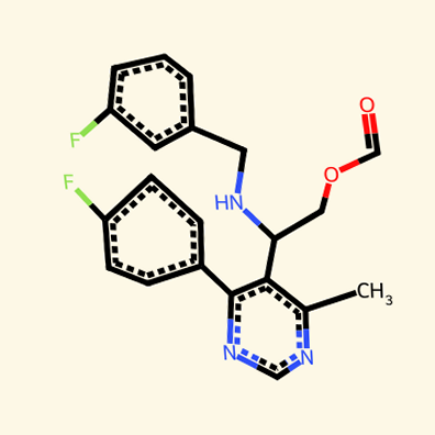 Cc1ncnc(-c2ccc(F)cc2)c1C(COC=O)NCc1cccc(F)c1